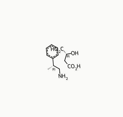 C[C@@H](CN)c1ccccc1.O=C(O)C[C@@H](O)C(=O)O